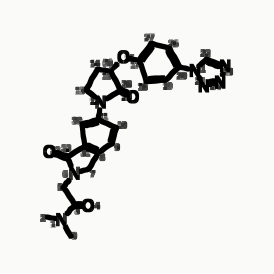 CN(C)C(=O)CN1Cc2ccc(N3CC[C@@H](Oc4ccc(-n5cnnn5)cc4)C3=O)cc2C1=O